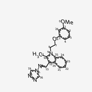 COc1cccc(OCCn2c(C)c(C=Nn3cnnc3)c3ccccc32)c1